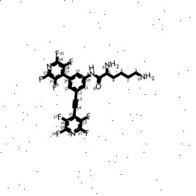 NCCCCC(N)C(=O)Nc1cc(C#Cc2c(F)c(F)nc(F)c2F)cc(-c2c(F)c(F)nc(F)c2F)c1